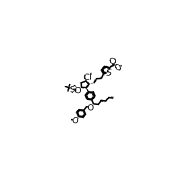 CCCCCC(OCc1ccc(OC)cc1)c1ccc([C@H]2[C@H](O[Si](C)(C)C(C)(C)C)CC(Cl)[C@@H]2CCCc2ccc(C(=O)OC)s2)cc1